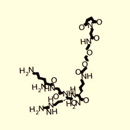 N=C(N)NCCC[C@H](NC(=O)CNC(=O)[C@@H](N)CCCCN)C(=O)N[C@@H](CCCCNC(=O)COCCOCCNC(=O)CCN1C(=O)C=CC1=O)C(N)=O